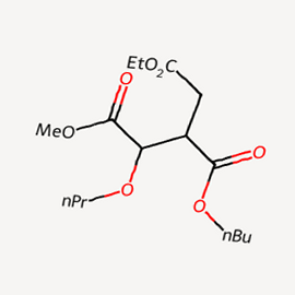 CCCCOC(=O)C(CC(=O)OCC)C(OCCC)C(=O)OC